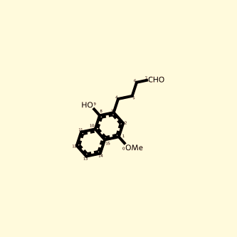 COc1cc(CCCC=O)c(O)c2ccccc12